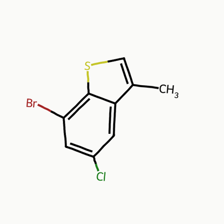 Cc1csc2c(Br)cc(Cl)cc12